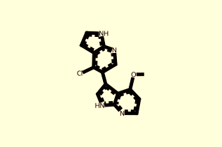 COc1ccnc2[nH]cc(-c3cnc4[nH]ccc4c3Cl)c12